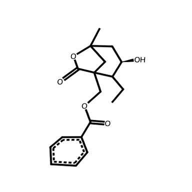 CCC1[C@H](O)CC2(C)CC1(COC(=O)c1ccccc1)C(=O)O2